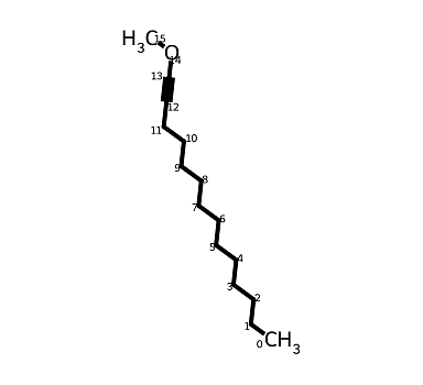 CCCCCCCCCCCCC#COC